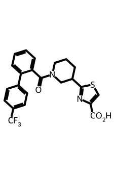 O=C(O)c1csc(C2CCCN(C(=O)c3ccccc3-c3ccc(C(F)(F)F)cc3)C2)n1